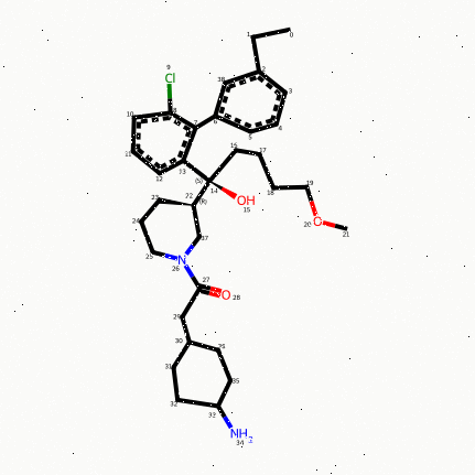 CCc1cccc(-c2c(Cl)cccc2[C@](O)(CCCCOC)[C@@H]2CCCN(C(=O)CC3CCC(N)CC3)C2)c1